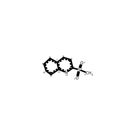 CS(=O)(=O)c1ccc2c[c]ccc2n1